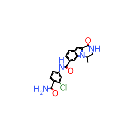 CC1CNC(=O)c2cc3ccc(C(=O)Nc4ccc(C(N)=O)c(Cl)c4)cc3n21